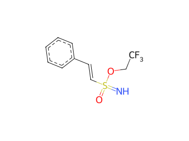 N=S(=O)(C=Cc1ccccc1)OCC(F)(F)F